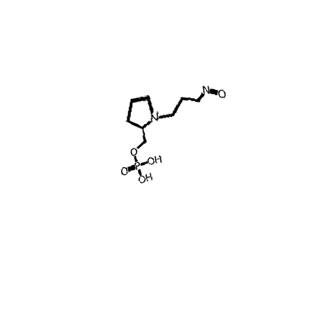 O=NCCCN1CCC[C@@H]1COP(=O)(O)O